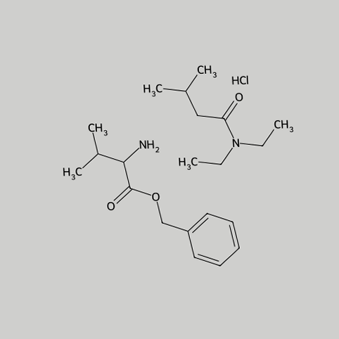 CC(C)C(N)C(=O)OCc1ccccc1.CCN(CC)C(=O)CC(C)C.Cl